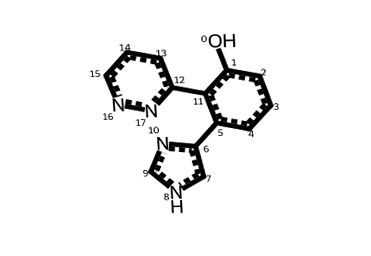 Oc1cccc(-c2c[nH]cn2)c1-c1cccnn1